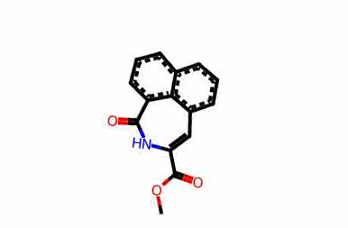 COC(=O)C1=Cc2cccc3cccc(c23)C(=O)N1